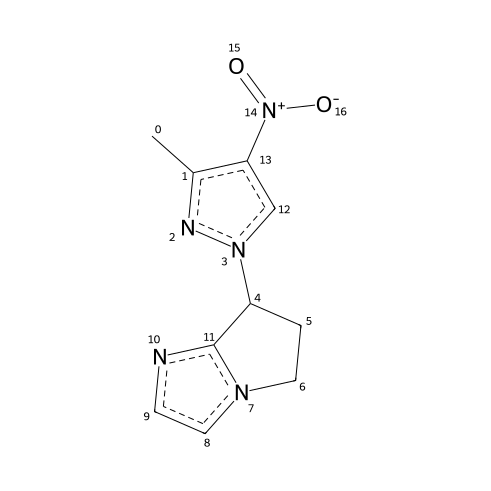 Cc1nn(C2CCn3ccnc32)cc1[N+](=O)[O-]